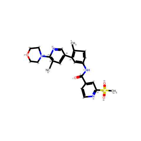 Cc1ccc(NC(=O)c2ccnc(S(C)(=O)=O)c2)cc1-c1cnc(N2CCOCC2)c(C#N)c1